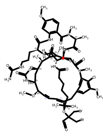 COc1ccc(C(=O)N(C)[C@@H](C)C(=O)O[C@H]2CC(=O)N(C)c3cc(cc(OC)c3Cl)C/C(C)=C/C=C/[C@@H](OC)[C@@]3(O)C[C@H](OC(=O)N3)[C@@H](C)[C@@H]3O[C@@]23C)c(NC(=O)[C@H](CCCNC(N)=O)NC(=O)[C@@H](NC(=O)CCCCC(C)(C)OC(C=O)(CBr)CBr)C(C)C)c1